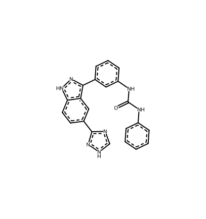 O=C(Nc1ccccc1)Nc1cccc(-c2n[nH]c3ccc(-c4nc[nH]n4)cc23)c1